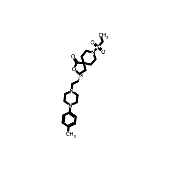 CCS(=O)(=O)N1CCC2(CC1)C[C@H](CCN1CCN(c3ccc(C)cc3)CC1)OC2=O